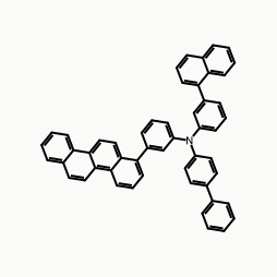 c1ccc(-c2ccc(N(c3cccc(-c4cccc5ccccc45)c3)c3cccc(-c4cccc5c4ccc4c6ccccc6ccc54)c3)cc2)cc1